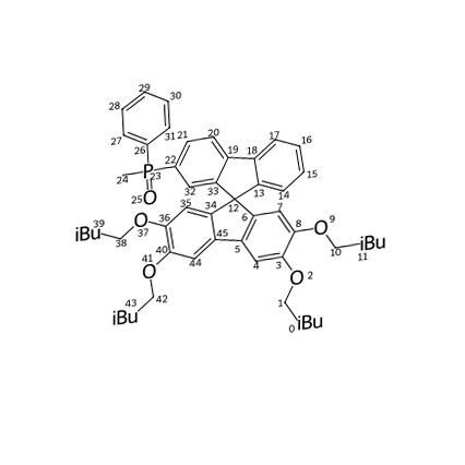 CCC(C)COc1cc2c(cc1OCC(C)CC)C1(c3ccccc3-c3ccc(P(C)(=O)c4ccccc4)cc31)c1cc(OCC(C)CC)c(OCC(C)CC)cc1-2